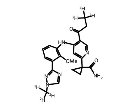 [2H]C([2H])([2H])CC(=O)c1cnc(C2(C(N)=O)CC2)cc1Nc1cccc(-c2ncn(C([2H])([2H])[2H])n2)c1OC